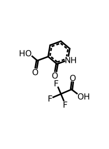 O=C(O)C(F)(F)F.O=C(O)c1ccc[nH]c1=O